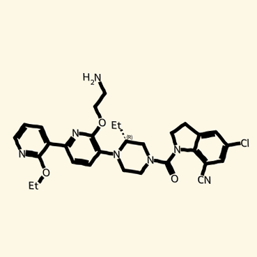 CCOc1ncccc1-c1ccc(N2CCN(C(=O)N3CCc4cc(Cl)cc(C#N)c43)C[C@H]2CC)c(OCCN)n1